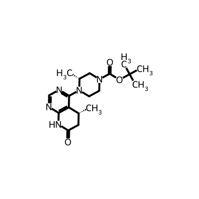 C[C@@H]1CC(=O)Nc2ncnc(N3CCN(C(=O)OC(C)(C)C)C[C@H]3C)c21